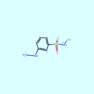 NNc1cccc(S(=O)(=O)NCl)c1